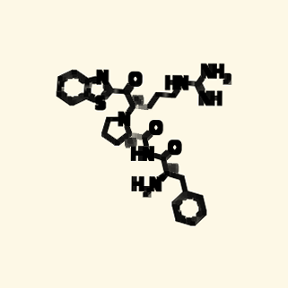 N=C(N)NCCC[C@@H](C(=O)c1nc2ccccc2s1)N1CCC[C@H]1C(=O)NC(=O)[C@H](N)Cc1ccccc1